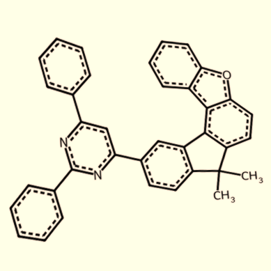 CC1(C)c2ccc(-c3cc(-c4ccccc4)nc(-c4ccccc4)n3)cc2-c2c1ccc1oc3ccccc3c21